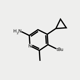 Cc1nc(N)cc(C2CC2)c1C(C)(C)C